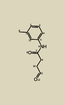 Cc1cccc(NC(=O)CCC=O)c1